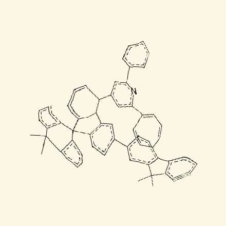 CC1(C)c2c#cccc2-c2ccc(-c3ccc4c(c3)C3C(=C=C=CC3c3cc(C5=CC=CCC=C5)nc(-c5ccccc5)c3)C43c4ccccc4C(C)(C)c4ccccc43)cc21